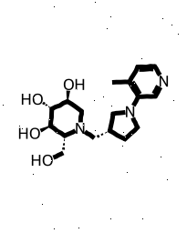 Cc1ccncc1N1CC[C@H](CN2C[C@H](O)[C@@H](O)[C@H](O)[C@H]2CO)C1